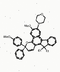 CCC1(CC)c2ccccc2-c2c1c1c(c3cc(OC)c(N4CCOCC4)cc23)OC(c2ccccc2)(c2ccc(OC)cc2)C=C1